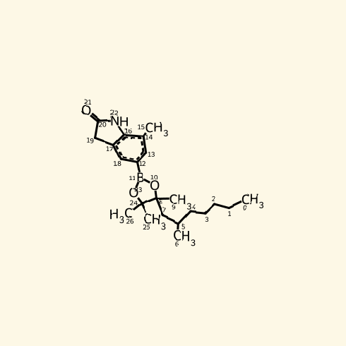 CCCCCC(C)CC1(C)OB(c2cc(C)c3c(c2)CC(=O)N3)OC1(C)C